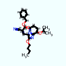 CCCCOc1nc2c(OC(C)C)cccn2c1/C=C(/C#N)C(=O)OCc1ccccc1